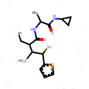 CC(C)CC(C(=O)NC(C(=O)NC1CC1)C(C)(C)C)C(C(=O)O)C(S)c1cccs1